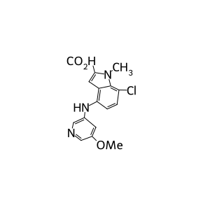 COc1cncc(Nc2ccc(Cl)c3c2cc(C(=O)O)n3C)c1